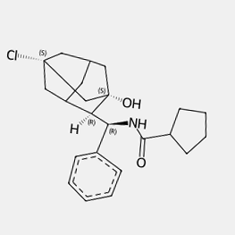 O=C(N[C@@H](c1ccccc1)[C@H]1C2CC3C[C@](Cl)(C2)C[C@@]1(O)C3)C1CCCC1